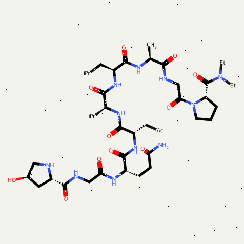 CCN(CC)C(=O)[C@@H]1CCCN1C(=O)CNC(=O)[C@H](C)NC(=O)[C@H](CC(C)C)NC(=O)[C@@H](NC(=O)[C@H](CC(C)=O)NC(=O)[C@H](CCC(N)=O)NC(=O)CNC(=O)[C@@H]1C[C@@H](O)CN1)C(C)C